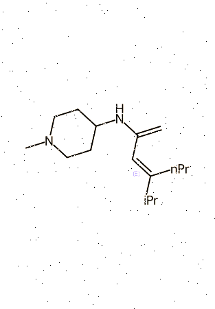 C=C(/C=C(\CCC)C(C)C)NC1CCN(C)CC1